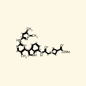 COC(=O)C1CN(CC(=O)Nc2cccc3c(-c4nc(Nc5cc(C)n(C)n5)ncc4C)c[nH]c23)C1